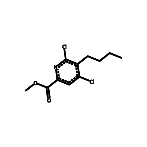 CCCCc1c(Cl)cc(C(=O)OC)nc1Cl